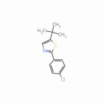 CC(C)(C)c1cnc(-c2ccc(Cl)cc2)s1